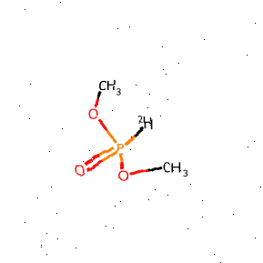 [2H]P(=O)(OC)OC